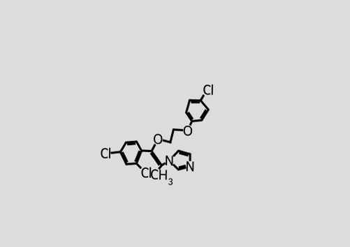 CC(=C(OCCOc1ccc(Cl)cc1)c1ccc(Cl)cc1Cl)n1ccnc1